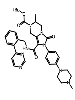 CC1Cn2c(c(C(=O)NCc3ccccc3-c3ccncn3)n(-c3ccc(N4CCN(C)CC4)cc3)c2=O)CN1C(=O)OC(C)(C)C